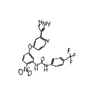 O=C(Nc1ccc(C(F)(F)F)cc1)Nc1cc(Oc2ccnc(-c3cn[nH]c3)c2)ccc1[N+](=O)[O-]